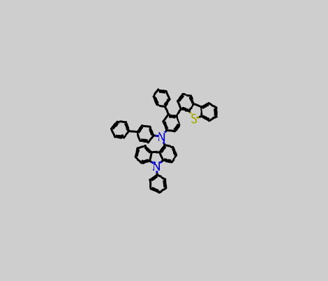 c1ccc(-c2ccc(N(c3ccc(-c4cccc5c4sc4ccccc45)c(-c4ccccc4)c3)c3cccc4c3c3ccccc3n4-c3ccccc3)cc2)cc1